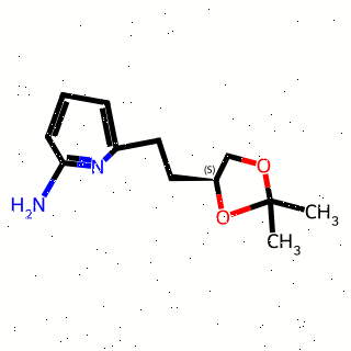 CC1(C)OC[C@H](CCc2cccc(N)n2)O1